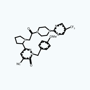 COc1ccc(Cn2nc(C3CCCN3CC(=O)N3CCN(c4ncc(C(F)(F)F)cn4)CC3)cc(C#N)c2=O)cc1